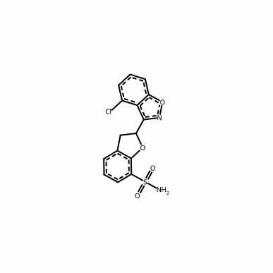 NS(=O)(=O)c1cccc2c1OC(c1noc3cccc(Cl)c13)C2